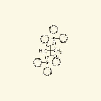 CC(C)(C(=O)OS(c1ccccc1)(c1ccccc1)c1ccccc1)C(=O)OS(c1ccccc1)(c1ccccc1)c1ccccc1